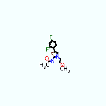 COCCn1cc(-c2ccc(F)cc2F)sc1=NC(C)=O